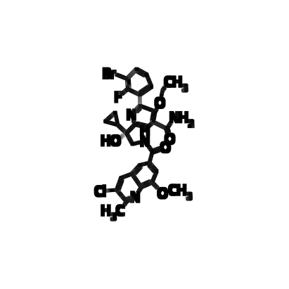 CCOc1c(C(N)=O)cc([C@@](O)(CNC(=O)c2cc(OC)c3nc(C)c(Cl)cc3c2)C2CC2)nc1-c1cccc(Br)c1F